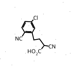 N#Cc1ccc(Cl)cc1CCC(C#N)C(=O)O